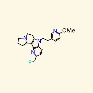 COc1ccc(CCn2c3c(c4nc(CF)ccc42)C2CCCN2CC3)cn1